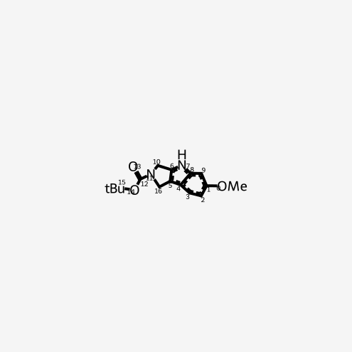 COc1ccc2c3c([nH]c2c1)CN(C(=O)OC(C)(C)C)C3